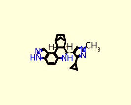 Cn1cc([C@@H]2Nc3ccc4[nH]ncc4c3[C@H]3C4CCC(C4)[C@@H]23)c(C2CC2)n1